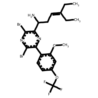 CCC(=CCC(N)c1nc(-c2ccc(OC(F)(F)F)cc2OC)c(Br)nc1Br)CC